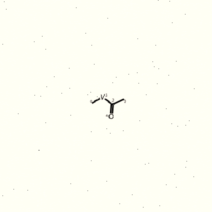 [CH3][V][C](C)=O